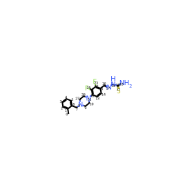 Cc1ccccc1CN1CCN(c2ccc(C=NNC(N)=S)c(F)c2F)CC1